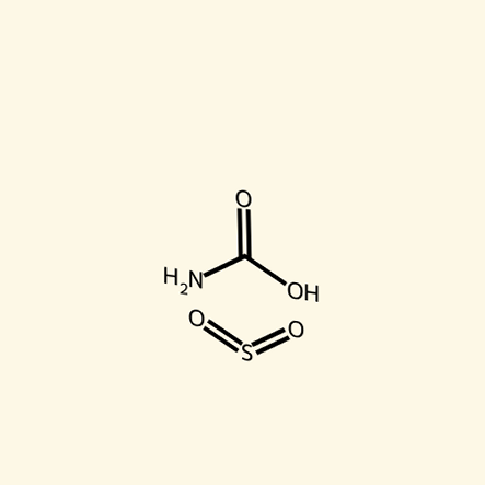 NC(=O)O.O=S=O